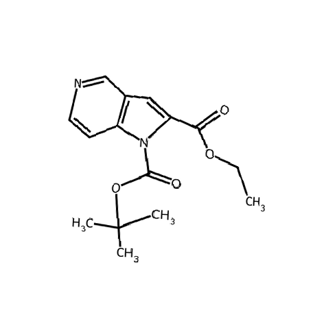 CCOC(=O)c1cc2cnccc2n1C(=O)OC(C)(C)C